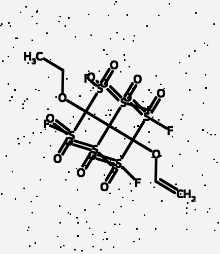 C=COC(C(C(OCC)(S(=O)(=O)F)S(=O)(=O)F)(S(=O)(=O)F)S(=O)(=O)F)(S(=O)(=O)F)S(=O)(=O)F